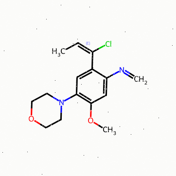 C=Nc1cc(OC)c(N2CCOCC2)cc1/C(Cl)=C\C